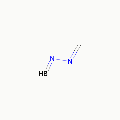 B=NN=C